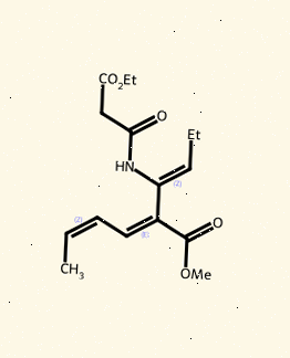 C\C=C/C=C(C(=O)OC)\C(=C\CC)NC(=O)CC(=O)OCC